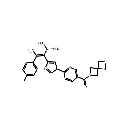 CN(N)/C(=C(\N)c1ccc(F)cc1)c1cn(-c2ccc(C(=O)N3CC4(COC4)C3)cn2)cn1